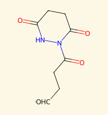 O=[C]CCC(=O)N1NC(=O)CCC1=O